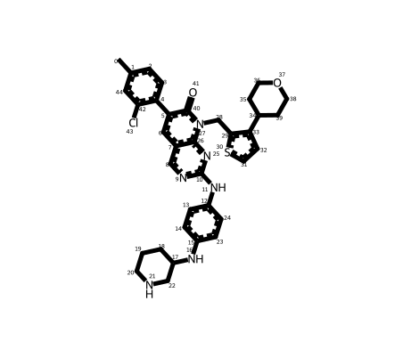 Cc1ccc(-c2cc3cnc(Nc4ccc(NC5CCCNC5)cc4)nc3n(Cc3sccc3C3CCOCC3)c2=O)c(Cl)c1